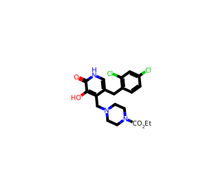 CCOC(=O)N1CCN(Cc2c(Cc3ccc(Cl)cc3Cl)c[nH]c(=O)c2O)CC1